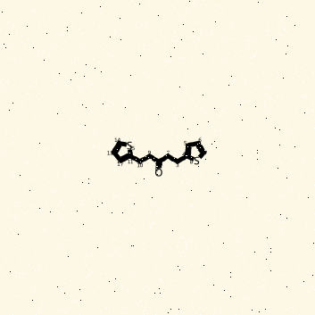 O=C(CCc1cccs1)CCc1cccs1